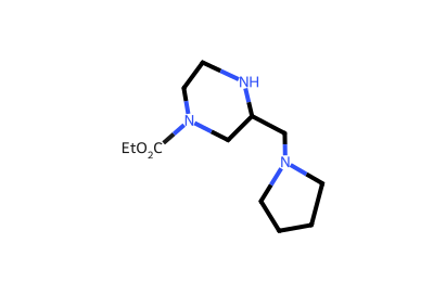 CCOC(=O)N1CCNC(CN2CCCC2)C1